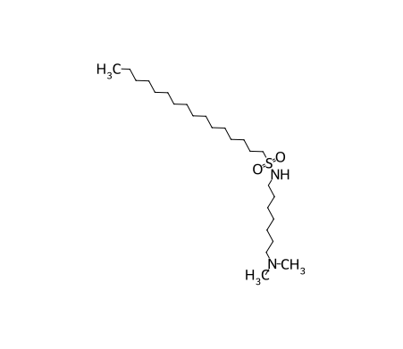 CCCCCCCCCCCCCCCCS(=O)(=O)NCCCCCCCN(C)C